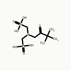 CC(C)(C)C(=O)CN(CP(=O)(O)O)CP(=O)(O)O